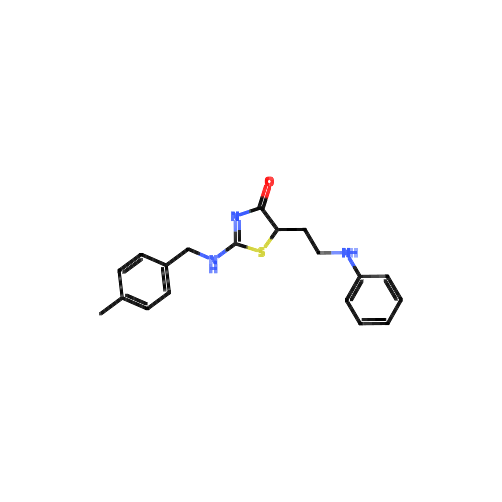 Cc1ccc(CNC2=NC(=O)C(CCNc3ccccc3)S2)cc1